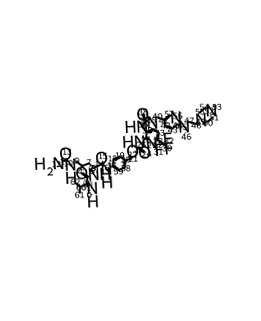 CN[C@H](C(=O)N[C@@H](CCCNC(N)=O)C(=O)Nc1ccc(COC(=O)Nc2nc(C(F)(F)F)cc3c2[nH]c(=O)n3Cc2ccc(N(C)CCN3CCN(C)CC3)nc2)cc1)C(C)C